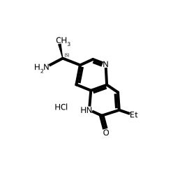 CCc1cc2ncc([C@H](C)N)cc2[nH]c1=O.Cl